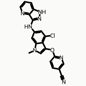 Cn1cc(Oc2ccc(C#N)cn2)c2c(Cl)cc(Nc3n[nH]c4cccnc34)cc21